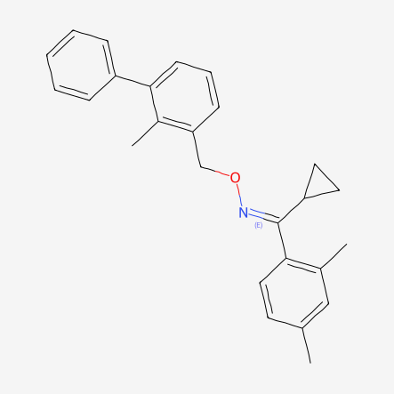 Cc1ccc(/C(=N/OCc2cccc(-c3ccccc3)c2C)C2CC2)c(C)c1